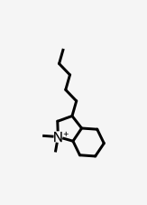 CCCCCC1C[N+](C)(C)C2CCCCC12